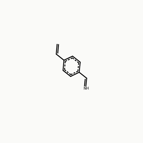 C=Cc1ccc(C=N)cc1